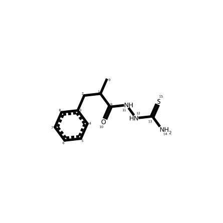 CC(Cc1ccccc1)C(=O)NNC(N)=S